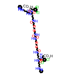 O=C(O)CC(NC(=O)[C@H](CCCCNC(=O)CCOCCOCCNC(=O)C(=O)NCCOCCOCCC(=O)NCCCC[C@H](NC(=O)CCCCNc1ccccn1)C(=O)NC(CC(=O)O)c1cc(Cl)cc(Cl)c1)NC(=O)CCCCNc1ccccn1)c1cc(Cl)cc(Cl)c1